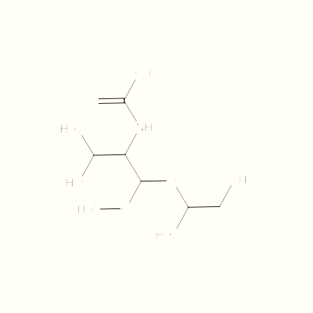 CCC(C)OC(OC)C(NC(C)=O)C(C)O